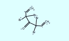 C=CC(Br)(Br)C(=O)C(Br)(Br)C=C